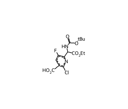 CCOC(=O)C(NC(=O)OC(C)(C)C)c1nc(Cl)c(C(=O)O)cc1F